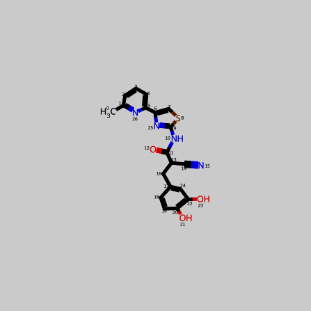 Cc1cccc(-c2csc(NC(=O)C(C#N)Cc3ccc(O)c(O)c3)n2)n1